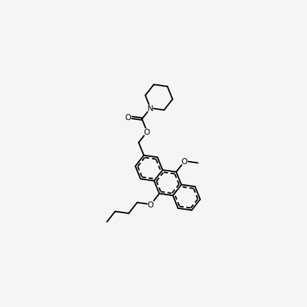 CCCCOc1c2ccccc2c(OC)c2cc(COC(=O)N3CCCCC3)ccc12